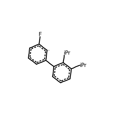 CC(C)c1cccc(-c2[c]c(F)ccc2)c1C(C)C